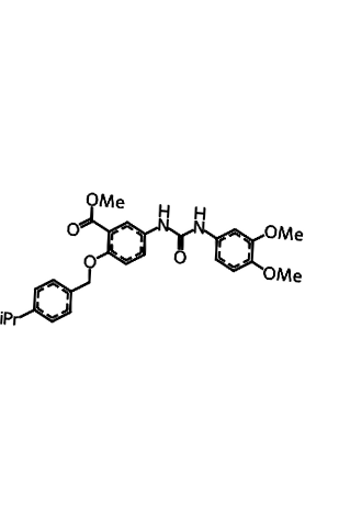 COC(=O)c1cc(NC(=O)Nc2ccc(OC)c(OC)c2)ccc1OCc1ccc(C(C)C)cc1